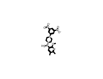 COc1nc(C)c(C)cc1N(S)N1CCN(c2cc([N+](=O)[O-])cc([N+](=O)[O-])c2)CC1